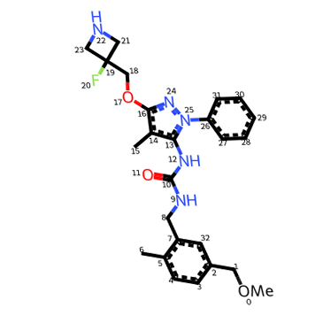 COCc1ccc(C)c(CNC(=O)Nc2c(C)c(OCC3(F)CNC3)nn2-c2ccccc2)c1